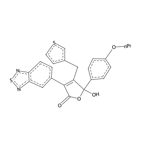 CCCOc1ccc(C2(O)OC(=O)C(c3ccc4nsnc4c3)=C2Cc2ccsc2)cc1